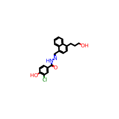 O=C(N/N=C/c1ccc(CCCO)c2ccccc12)c1ccc(O)c(Cl)c1